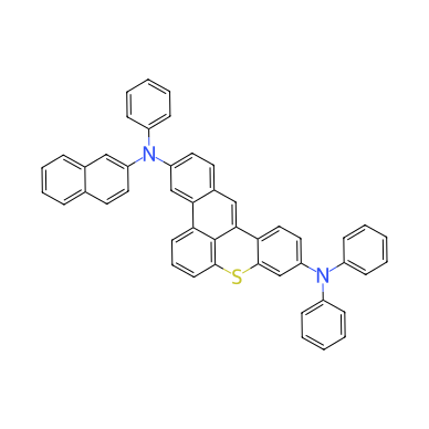 c1ccc(N(c2ccccc2)c2ccc3c(c2)Sc2cccc4c2c-3cc2ccc(N(c3ccccc3)c3ccc5ccccc5c3)cc24)cc1